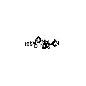 CC(C)(C)OC(=O)N1CCC[C@@H](Nc2nccc3sc(-c4ccnnc4)cc23)C1